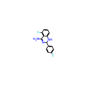 NC1=NC(c2ccc(F)cc2)Nc2cccc(F)c21